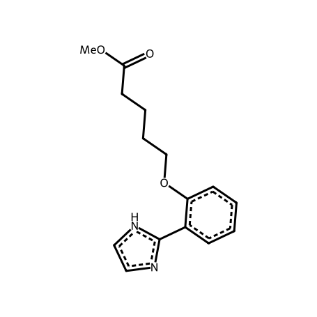 COC(=O)CCCCOc1ccccc1-c1ncc[nH]1